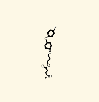 CNCCC(=O)OCCCOc1ccc(Oc2ccc(F)cc2)cc1